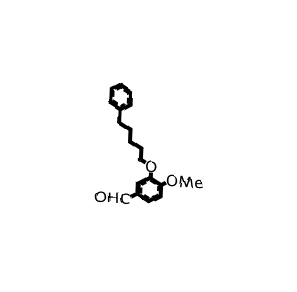 COc1ccc(C=O)cc1OCCCCCc1ccccc1